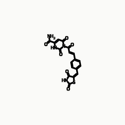 NC(=O)c1cc(=O)n(C(=O)C=Cc2ccc(C=C3SC(=O)NC3=O)cc2)c(=O)[nH]1